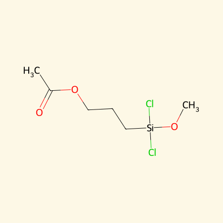 CO[Si](Cl)(Cl)CCCOC(C)=O